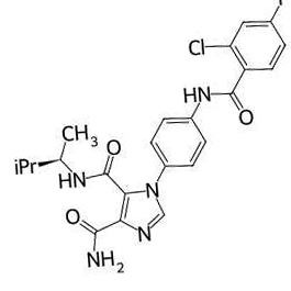 CC(C)[C@@H](C)NC(=O)c1c(C(N)=O)ncn1-c1ccc(NC(=O)c2ccc(F)cc2Cl)cc1